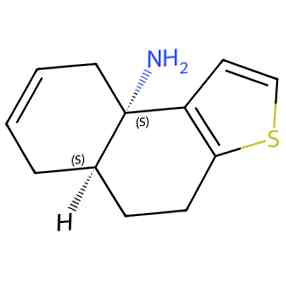 N[C@@]12CC=CC[C@@H]1CCc1sccc12